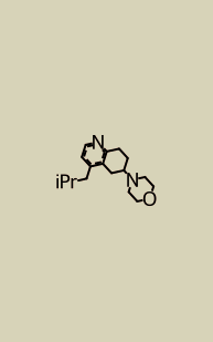 CC(C)Cc1ccnc2c1CC(N1CCOCC1)CC2